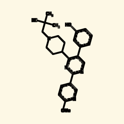 COc1ccc(-c2ncc(-c3cccc(O)c3)c(C3CCN(CC(C)(C)C#N)CC3)n2)cn1